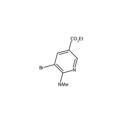 CCOC(=O)c1cnc(NC)c(Br)c1